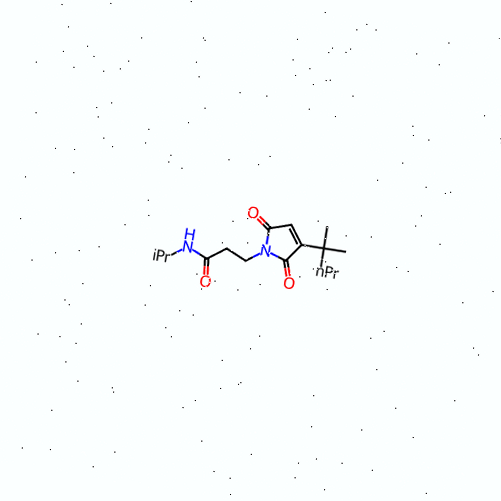 CCCC(C)(C)C1=CC(=O)N(CCC(=O)NC(C)C)C1=O